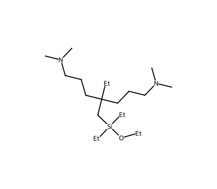 CCO[Si](CC)(CC)CC(CC)(CCCN(C)C)CCCN(C)C